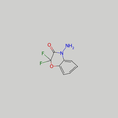 NN1C(=O)C(F)(F)Oc2ccccc21